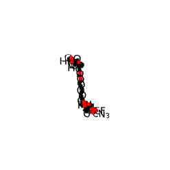 CC1(C)C(=O)SC(C2NCCN2c2ccc(C#N)c(C(F)(F)F)c2)=C1c1ccc(OCCOCCOCCOCCOCCOCCNc2cccc3c2C(=O)N(C2CCC(=O)NC2=O)C3=O)cc1